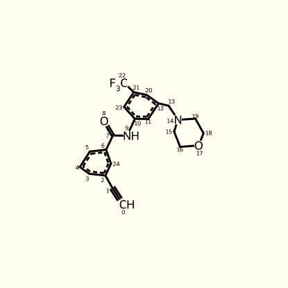 C#Cc1cccc(C(=O)Nc2cc(CN3CCOCC3)cc(C(F)(F)F)c2)c1